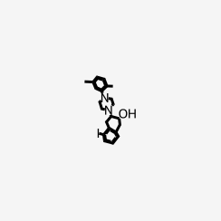 Cc1ccc(C)c(N2CCN(C3Cc4c(I)cccc4CC3O)CC2)c1